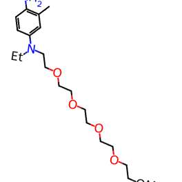 CCN(CCOCCOCCOCCOCCOC)c1ccc(N)c(C)c1